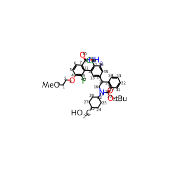 COCCOc1ccc(C(N)=O)c(-c2cc(C(CN(C(=O)OC(C)(C)C)C3CCC(C(=O)O)CC3)c3ccccc3)ccc2Cl)c1F